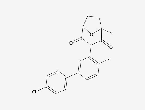 Cc1ccc(-c2ccc(Cl)cc2)cc1C1C(=O)C2CCC(C)(O2)C1=O